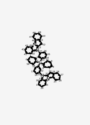 c1ccc([Si](c2ccccc2)(c2cccc(-n3c4ccccc4n4c5ccccc5cc34)c2)c2cccc(-n3c4ccccc4n4c5ccccc5cc34)c2)cc1